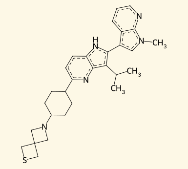 CC(C)c1c(-c2cn(C)c3ncccc23)[nH]c2ccc(C3CCC(N4CC5(CSC5)C4)CC3)nc12